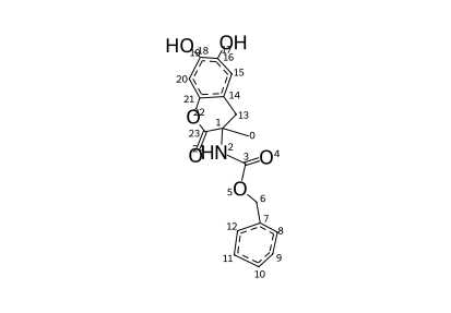 CC1(NC(=O)OCc2ccccc2)Cc2cc(O)c(O)cc2OC1=O